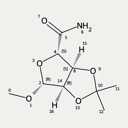 CO[C@@H]1O[C@H](C(N)=O)[C@H]2OC(C)(C)O[C@@H]12